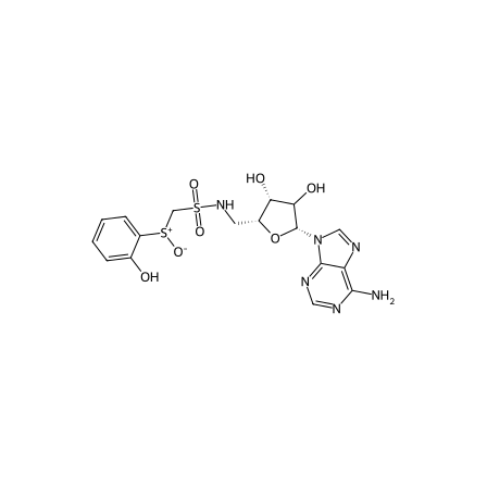 Nc1ncnc2c1ncn2[C@@H]1O[C@H](CNS(=O)(=O)C[S+]([O-])c2ccccc2O)[C@H](O)C1O